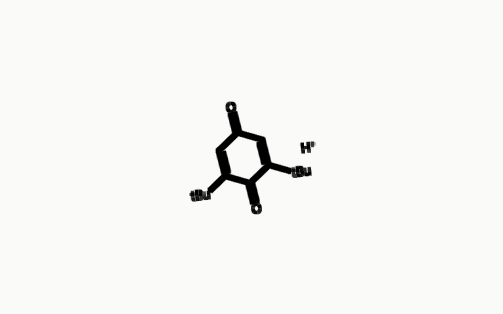 CC(C)(C)C1=CC(=O)C=C(C(C)(C)C)C1=O.[H+]